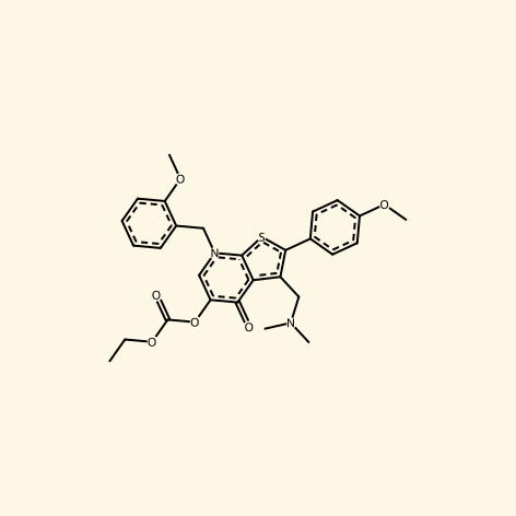 CCOC(=O)Oc1cn(Cc2ccccc2OC)c2sc(-c3ccc(OC)cc3)c(CN(C)C)c2c1=O